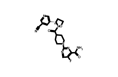 N#Cc1cncc([C@@H]2CCON2C(=O)C2CCN(c3ncc(F)c(C(N)=O)n3)CC2)c1